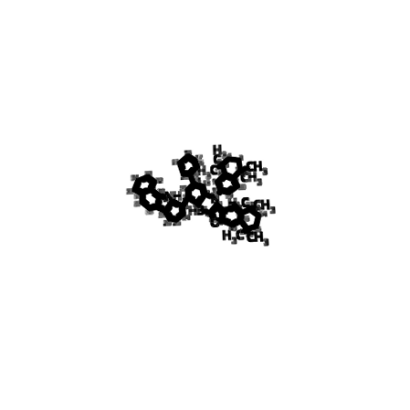 CC1(C)CCC(C)(C)c2cc(N3c4cc(-c5ccccc5)cc(-c5cccc6c5[nH]c5c7ccccc7ccc65)c4Bc4oc5cc6c(cc5c43)C(C)(C)CCC6(C)C)ccc21